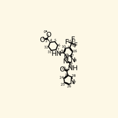 COC(=O)[C@H]1CC[C@H](Nc2cc(C(F)(F)F)cc3nc(NC(=O)c4cccnc4)nn23)CC1